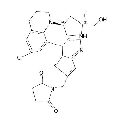 C[C@@]1(CO)C[C@H](N2CCCc3cc(Cl)cc(-c4ccnc5cc(CN6C(=O)CCC6=O)sc45)c32)CN1